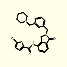 O=C(Nc1cccc2c1CN(Cc1cccc(CN3CCCCC3)c1)C2=O)c1ccc(Cl)s1